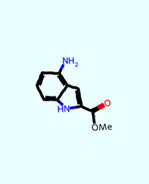 COC(=O)c1cc2c(N)cccc2[nH]1